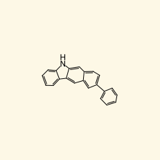 c1ccc(-c2ccc3cc4[nH]c5ccccc5c4cc3c2)cc1